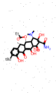 CCC(=O)O[C@H]1C2C(=C(O)[C@]3(O)C(=O)C(C(N)=O)=C(O)[C@@H](N(C)C)C13)C(=O)c1c(ccc(C(C)(C)C)c1O)[C@@H]2C